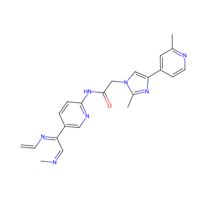 C=C/N=C(\C=N/C)c1ccc(NC(=O)Cn2cc(-c3ccnc(C)c3)nc2C)nc1